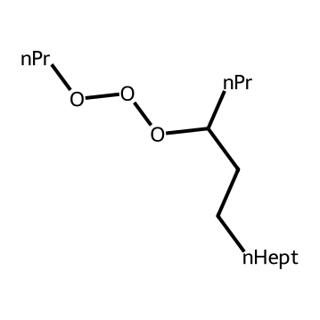 CCCCCCCCCC(CCC)OOOCCC